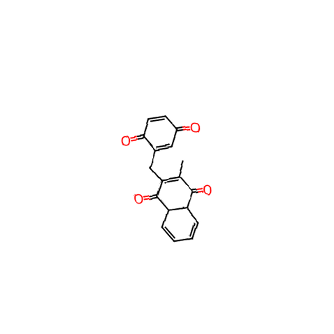 CC1=C(CC2=CC(=O)C=CC2=O)C(=O)C2C=CC=CC2C1=O